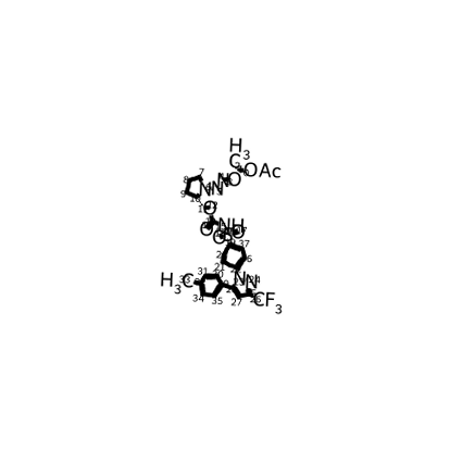 CC(=O)OC(C)ON=NN1CCC[C@H]1COC(=O)NS(=O)(=O)c1ccc(-n2nc(C(F)(F)F)cc2-c2ccc(C)cc2)cc1